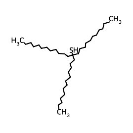 CCCCCCCCCCCCCC(S)(CCCCCCCCCCCC)CCCCCCCCCCCC